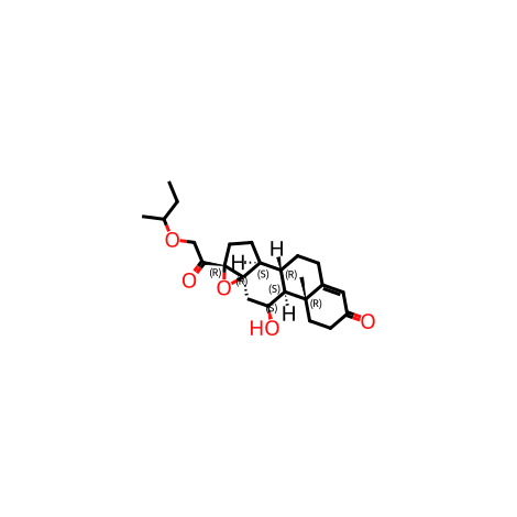 CCC(C)OCC(=O)[C@@]12CC[C@H]3[C@@H]4CCC5=CC(=O)CC[C@]5(C)[C@H]4[C@@H](O)C[C@@]31O2